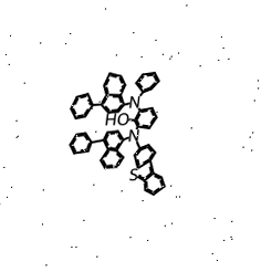 Oc1c(N(c2ccccc2)c2ccc(-c3ccccc3)c3ccccc23)cccc1N(c1ccc2c(c1)sc1ccccc12)c1ccc(-c2ccccc2)c2ccccc12